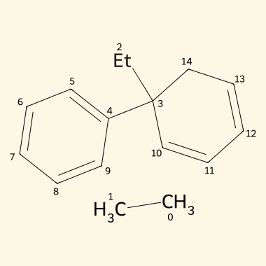 CC.CCC1(c2ccccc2)C=CC=CC1